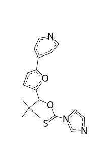 CC(C)(C)C(OC(=S)n1ccnc1)c1ccc(-c2ccncc2)o1